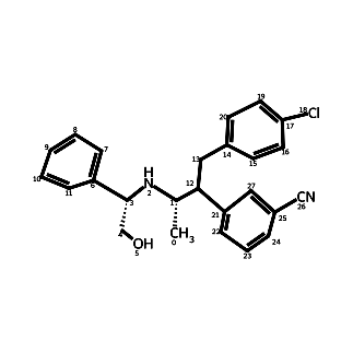 C[C@H](N[C@H](CO)c1ccccc1)C(Cc1ccc(Cl)cc1)c1cccc(C#N)c1